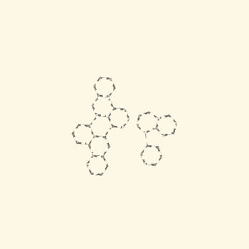 c1ccc2c(c1)-c1cccc3cccc-2c13.c1ccc2c(c1)cc1c3cccc4c5ccccc5cc(c5cccc2c51)c43